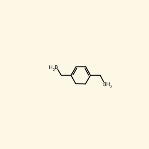 BCC1=CC=C(CB)CC1